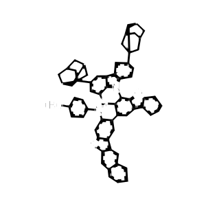 CC(C)(C)c1ccc(N2B3c4c(cc5c(oc6ccccc65)c4-n4c5ccc(C67CC8CC(CC(C8)C6)C7)cc5c5cc(C67CC8CC(CC(C8)C6)C7)cc3c54)-c3cc4c(cc32)sc2cc3ccccc3cc24)cc1